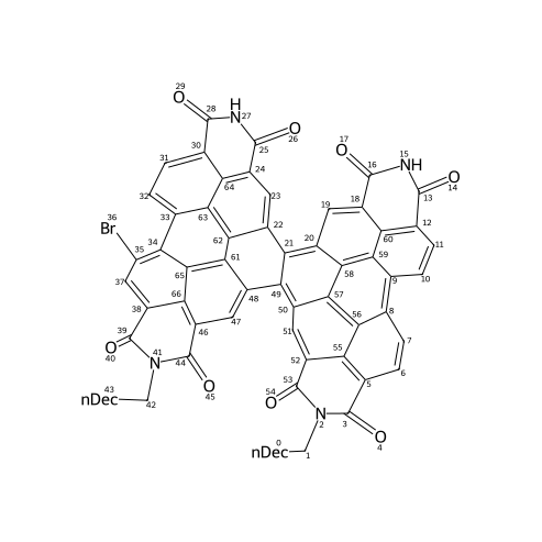 CCCCCCCCCCCn1c(=O)c2ccc3c4ccc5c(=O)[nH]c(=O)c6cc7c8c9cc%10c(=O)[nH]c(=O)c%11ccc%12c%13c(Br)cc%14c(=O)n(CCCCCCCCCCC)c(=O)c%15cc(c8c8cc(c1=O)c2c3c8c7c4c56)c(c9c%12c%11%10)c%13c%14%15